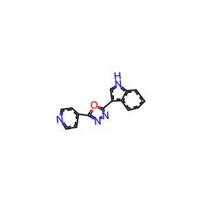 c1ccc2c(-c3nnc(-c4ccncc4)o3)c[nH]c2c1